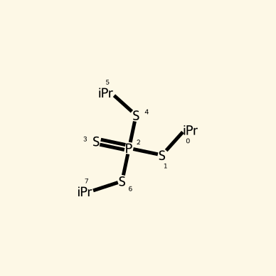 CC(C)SP(=S)(SC(C)C)SC(C)C